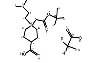 CN(C)CC[N+]1(CC(=O)OC(C)(C)C)CCC(C(=O)O)CC1.O=C([O-])C(F)(F)F